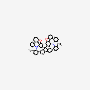 Cc1ccccc1N(c1ccccc1)c1cc2c(c3oc4ccccc4c13)-c1c(cc(N(c3ccccc3)c3ccccc3C)c3c1oc1ccccc13)C21c2ccccc2-c2ccccc21